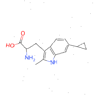 Cc1[nH]c2cc(C3CC3)ccc2c1CC(N)C(=O)O